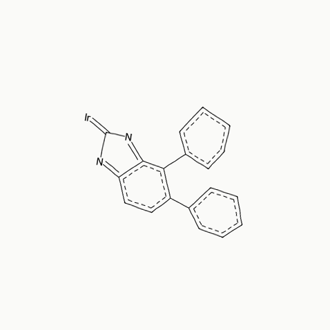 [Ir]=[C]1N=c2ccc(-c3ccccc3)c(-c3ccccc3)c2=N1